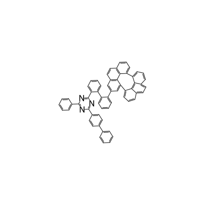 c1ccc(-c2ccc(-c3nc(-c4ccccc4)nc(-c4ccccc4-c4ccccc4-c4cc5ccc6cccc7c8cccc9ccc%10cccc(c(c4)c5c67)c%10c98)n3)cc2)cc1